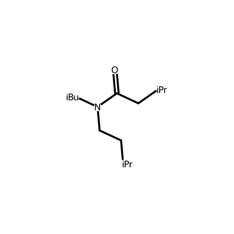 CCC(C)N(CCC(C)C)C(=O)CC(C)C